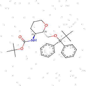 CC(C)(C)OC(=O)N[C@H]1CCCO[C@@H]1CO[Si](c1ccccc1)(c1ccccc1)C(C)(C)C